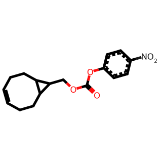 O=C(OCC1C2CCC=CCCC21)Oc1ccc([N+](=O)[O-])cc1